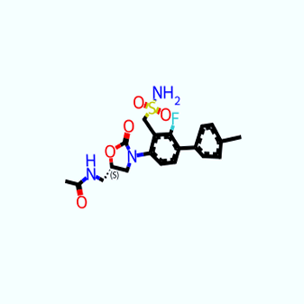 CC(=O)NC[C@H]1CN(c2ccc(-c3ccc(C)cc3)c(F)c2CS(N)(=O)=O)C(=O)O1